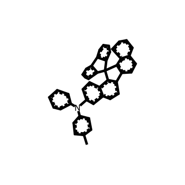 Cc1ccc(N(c2ccccc2)c2ccc3c4c(ccc3c2)-c2ccc3ccccc3c2C42c3ccccc3-c3ccccc32)cc1